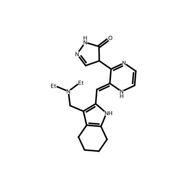 CCN(CC)Cc1c(C=C2NC=CN=C2C2C=NNC2=O)[nH]c2c1CCCC2